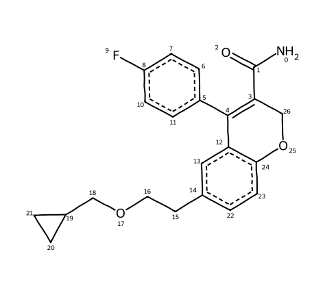 NC(=O)C1=C(c2ccc(F)cc2)c2cc(CCOCC3CC3)ccc2OC1